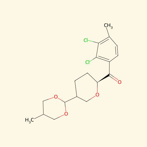 Cc1ccc(C(=O)[C@@H]2CCC(C3OCC(C)CO3)CO2)c(Cl)c1Cl